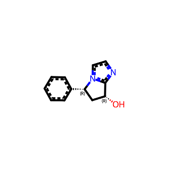 O[C@@H]1C[C@H](c2ccccc2)n2ccnc21